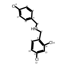 Clc1ccc(CNCc2ccc(Cl)cc2Cl)cc1